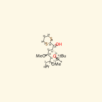 CO[C@@H](CC(C)C)[C@@H](O[Si](C)(C)C(C)(C)C)[C@H](C[C@@H](C)C(O)C1SCCCS1)OC